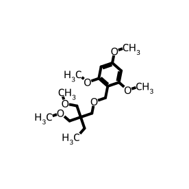 CCC(COC)(COC)COCc1c(OC)cc(OC)cc1OC